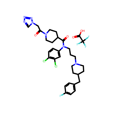 O=C(Cn1cnnn1)N1CCC(C(=O)N(CCCN2CCC(Cc3ccc(F)cc3)CC2)c2ccc(Cl)c(Cl)c2)CC1.O=C(O)C(F)(F)F